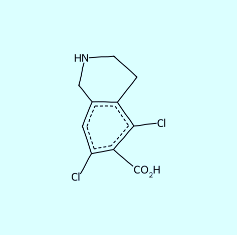 O=C(O)c1c(Cl)cc2c(c1Cl)CCNC2